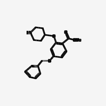 COC(=O)c1ccc(OCc2ccccc2)cc1OC1CCNCC1